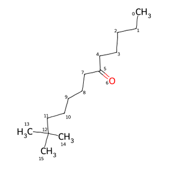 CCCCCC(=O)CCCCCC(C)(C)C